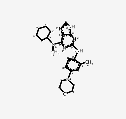 Cc1cc(N2CCOCC2)ccc1Nc1nc(N(C)C2CCCCC2)c2nc[nH]c2n1